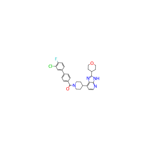 O=C(c1ccc(-c2ccc(F)c(Cl)c2)cc1)N1CCC(c2ccnc3[nH]c(C4CCOCC4)nc23)CC1